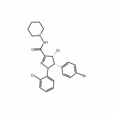 CC[C@H]1C(C(=O)NN2CCCCC2)=NN(c2ccccc2Cl)[C@H]1c1ccc(Br)cc1